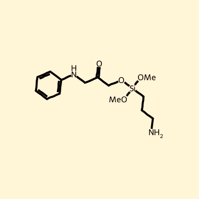 CO[Si](CCCN)(OC)OCC(=O)CNc1ccccc1